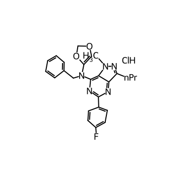 CCCc1nn(C)c2c(N(Cc3ccccc3)C3=COCO3)nc(-c3ccc(F)cc3)nc12.Cl